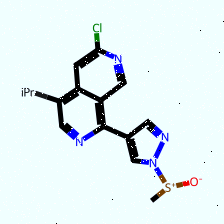 CC(C)c1cnc(-c2cnn([S+](C)[O-])c2)c2cnc(Cl)cc12